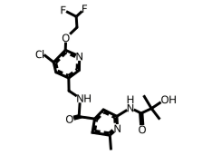 Cc1cc(C(=O)NCc2cnc(OCC(F)F)c(Cl)c2)cc(NC(=O)C(C)(C)O)n1